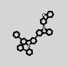 c1ccc(-c2ccc3c(c2)c2cc(-c4ccc5c(c4)c4ccccc4n5-c4ccc5oc6ccccc6c5c4)ccc2n3-c2ccccc2-c2ccccc2)cc1